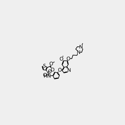 COC(=O)c1sccc1S(=O)(=O)Nc1cccc(Oc2ccnc3cc(OCCCN4CCN(C)CC4)c(OC)cc23)c1